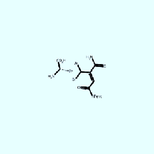 CC(C)[C@H](N)C(=O)O.CCCCCC(=O)C=C(C(N)=O)C(Br)Br